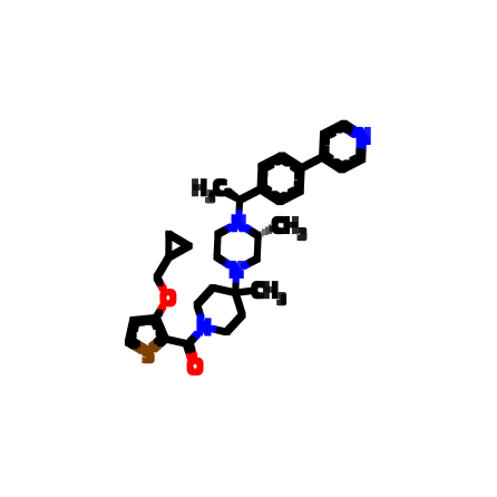 C[C@@H]1CN(C2(C)CCN(C(=O)c3sccc3OCC3CC3)CC2)CCN1[C@@H](C)c1ccc(-c2ccncc2)cc1